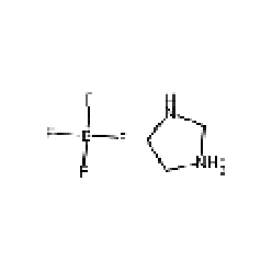 C1C[NH2+]CN1.F[B-](F)(F)F